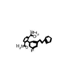 NC(=O)c1cccc(C(N)=O)c1-c1cc(F)cc(CCc2ccccc2)c1